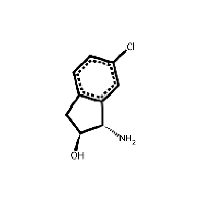 N[C@H]1c2cc(Cl)ccc2C[C@@H]1O